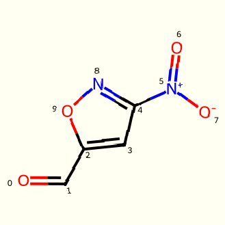 O=Cc1cc([N+](=O)[O-])no1